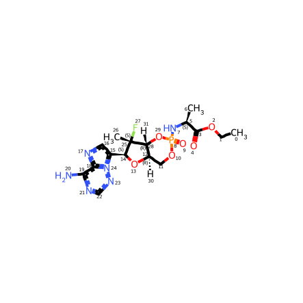 CCOC(=O)[C@H](C)NP1(=O)OC[C@H]2O[C@@H](c3cnc4c(N)ncnn34)[C@](C)(F)[C@@H]2O1